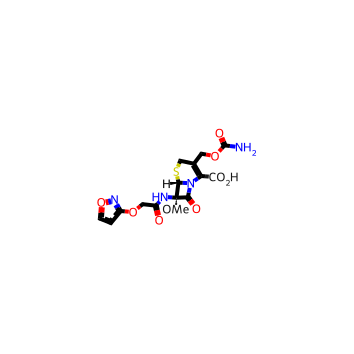 CO[C@@]1(NC(=O)COc2ccon2)C(=O)N2C(C(=O)O)=C(COC(N)=O)CS[C@H]21